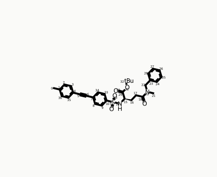 Cc1ccc(C#Cc2ccc(S(=O)(=O)N[C@H](CCC(=O)N(C)Cc3ccccc3)C(=O)OC(C)(C)C)cc2)cc1